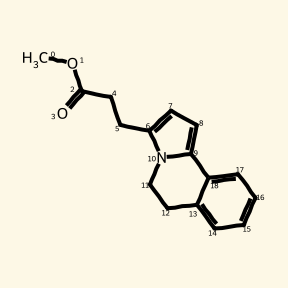 COC(=O)CCc1ccc2n1CCc1ccccc1-2